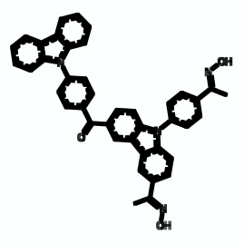 CC(=NO)c1ccc(-n2c3ccc(C(=O)c4ccc(-n5c6ccccc6c6ccccc65)cc4)cc3c3cc(C(C)=NO)ccc32)cc1